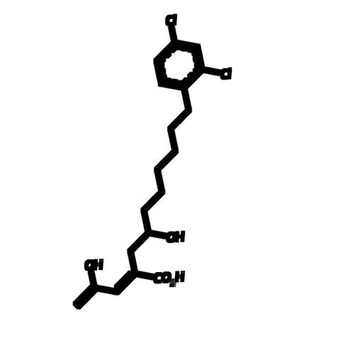 C=C(O)/C=C(\CC(O)CCCCCCc1ccc(Cl)cc1Cl)C(=O)O